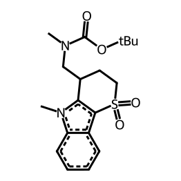 CN(CC1CCS(=O)(=O)c2c1n(C)c1ccccc21)C(=O)OC(C)(C)C